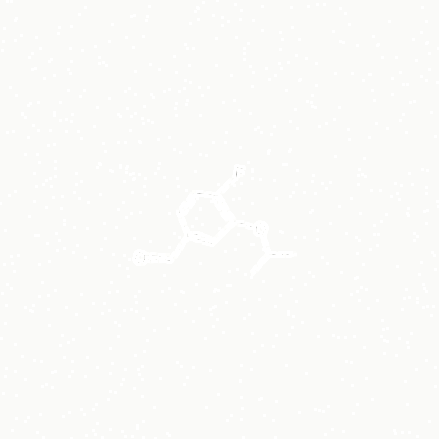 CC(C)Oc1cc(C=O)ccc1F